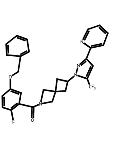 O=C(c1cc(OCc2ccccc2)ccc1F)N1CC2(CC(n3nc(-c4ccccn4)cc3C(F)(F)F)C2)C1